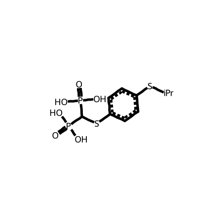 CC(C)Sc1ccc(SC(P(=O)(O)O)P(=O)(O)O)cc1